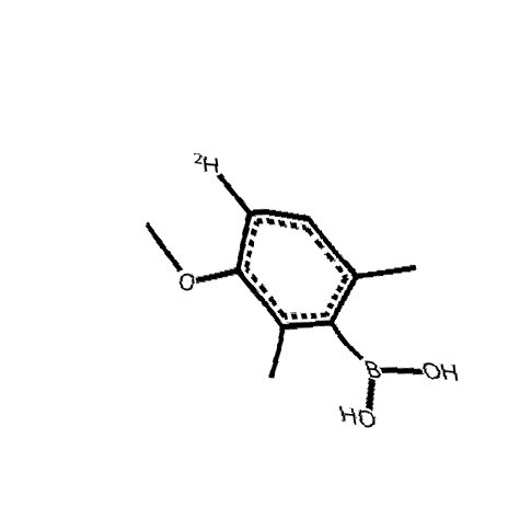 [2H]c1cc(C)c(B(O)O)c(C)c1OC